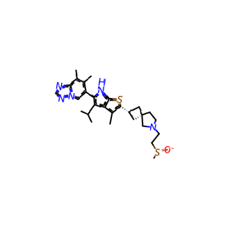 Cc1c(-c2[nH]c3sc([C@H]4C[C@@]5(CCN(CC[S+](C)[O-])C5)C4)c(C)c3c2C(C)C)cn2ncnc2c1C